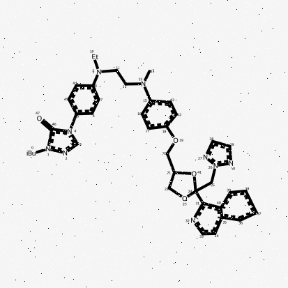 CCC(C)n1ncn(-c2ccc(N(CC)CCN(C)c3ccc(OCC4COC(Cn5nccn5)(c5nccc6ccccc56)O4)cc3)cc2)c1=O